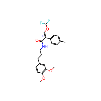 COc1ccc(CCCNC(=O)/C(=C/OC(F)F)c2ccc(C)cc2)cc1OC